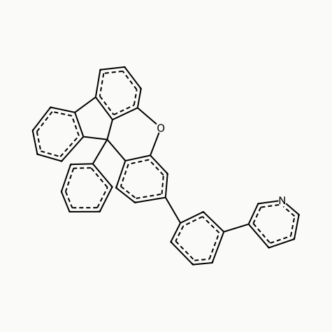 c1ccc(C23c4ccc(-c5cccc(-c6cccnc6)c5)cc4Oc4cccc(c42)-c2ccccc23)cc1